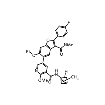 CCOc1cc2oc(-c3ccc(F)cc3)c(C(=O)NC)c2cc1-c1cnc(OC)c(C(=O)NC23CC(C2)[C@@H]3C)c1